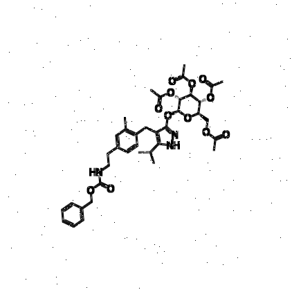 CC(=O)OC[C@H]1O[C@@H](Oc2n[nH]c(C(C)C)c2Cc2ccc(CCNC(=O)OCc3ccccc3)cc2C)[C@H](OC(C)=O)[C@@H](OC(C)=O)[C@@H]1OC(C)=O